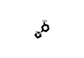 Oc1cccc(-n2cccn2)c1